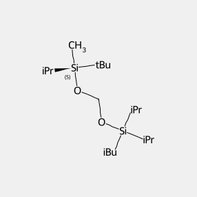 CCC(C)[Si](OCO[Si@@](C)(C(C)C)C(C)(C)C)(C(C)C)C(C)C